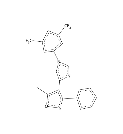 Cc1onc(-c2ccccc2)c1-c1cn(-c2cc(C(F)(F)F)cc(C(F)(F)F)c2)cn1